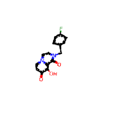 O=c1ccn2ccn(Cc3ccc(F)cc3)c(=O)c2c1O